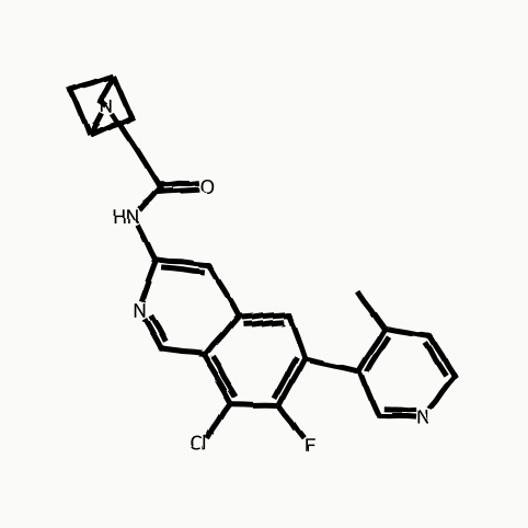 Cc1ccncc1-c1cc2cc(NC(=O)N3CC4CC3C4)ncc2c(Cl)c1F